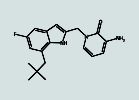 CC(C)(C)Cc1cc(F)cc2cc(Cn3cccc(N)c3=O)[nH]c12